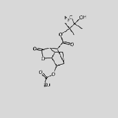 CCC(C)C(=O)OC1C2CC3C1OC(=O)C3C2C(=O)OC(C)(C)C(C)(O)C(F)(F)F